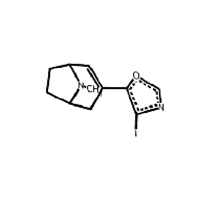 CN1C2C=C(c3ocnc3I)CC1CC2